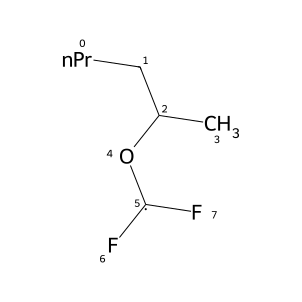 CCCCC(C)O[C](F)F